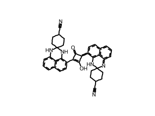 N#CC1CCC2(CC1)N=c1cccc3cc/c(=C4\C(=O)C(c5ccc6cccc7c6c5NC5(CCC(C#N)CC5)N7)=C4O)c(c13)N2